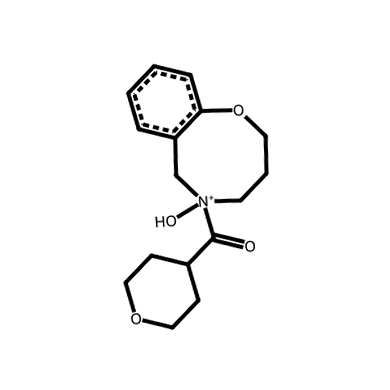 O=C(C1CCOCC1)[N+]1(O)CCCOc2ccccc2C1